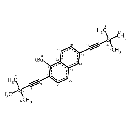 CC(C)(C)c1c(C#C[Si](C)(C)C)ccc2cc(C#C[Si](C)(C)C)ccc12